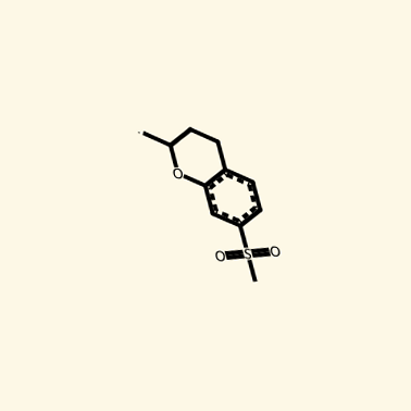 [CH2]C1CCc2ccc(S(C)(=O)=O)cc2O1